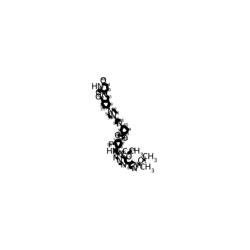 CCOC(C)n1cc(-c2ncn3nc(Nc4ccc(S(=O)(=O)c5cccc(N6CC(N7CCN(c8ccc9c(c8)CN([C@H]8CCC(=O)NC8=O)C9=O)CC7)C6)c5)cc4F)nc3c2OC(C)C)cn1